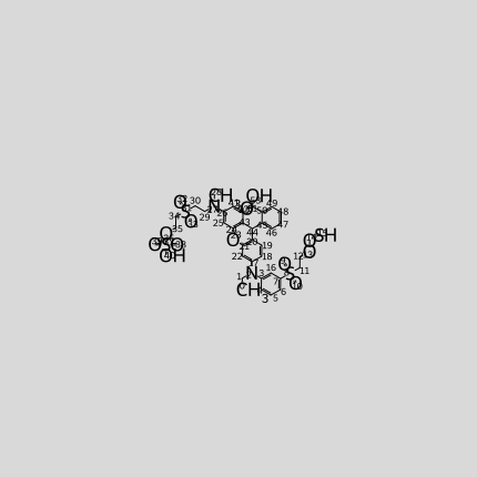 CCN(c1cccc(S(=O)(=O)CCOOS)c1)c1ccc2c(c1)Oc1cc(N(C)CCS(=O)(=O)CCOS(=O)(=O)O)ccc1C2c1ccccc1C(=O)O